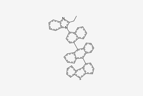 CCc1nc2ccccc2n1-c1ccc(-c2c3ccccc3c(-c3cccc4sc5ccccc5c34)c3ccccc23)c2ccccc12